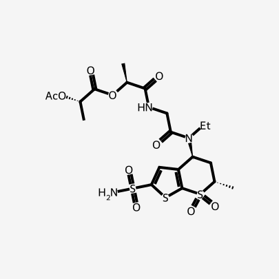 CCN(C(=O)CNC(=O)[C@H](C)OC(=O)[C@H](C)OC(C)=O)[C@H]1C[C@H](C)S(=O)(=O)c2sc(S(N)(=O)=O)cc21